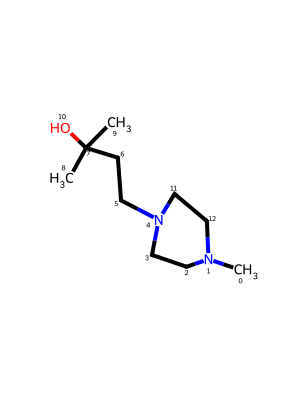 CN1CCN(CCC(C)(C)O)CC1